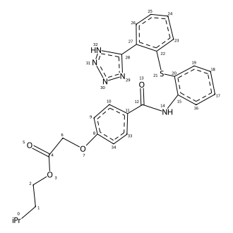 CC(C)CCOC(=O)COc1ccc(C(=O)Nc2ccccc2Sc2ccccc2-c2nnn[nH]2)cc1